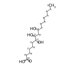 CCCCCCCCC(O)CC(O)C(O)CCCCCC(=O)O